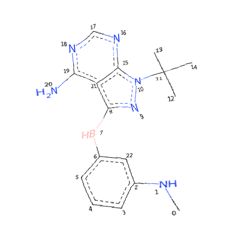 CNc1cccc(Bc2nn(C(C)(C)C)c3ncnc(N)c23)c1